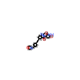 Cc1nc2ccc(C#Cc3ccc(CN4CCOCC4)cc3)cc2c(=O)n1C1CCC(=O)NC1=O